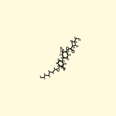 CCCCCCCOc1ccc(-c2ccc(OC(=O)C3CC(CC)C3)c(F)c2)cc1F